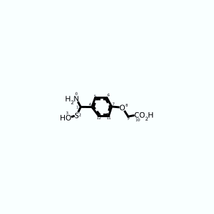 NC(SO)c1ccc(OCC(=O)O)cc1